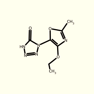 CCOc1nc(C)oc1-n1nn[nH]c1=O